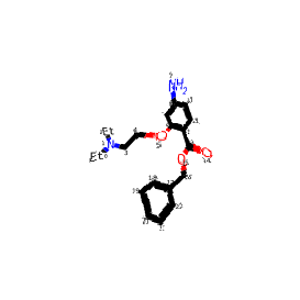 CCN(CC)CCOc1cc(N)ccc1C(=O)OCc1ccccc1